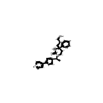 CC(c1ccc(-c2ccncc2)cc1)N1CCC(CCCO)(c2ccccc2)NC1=O